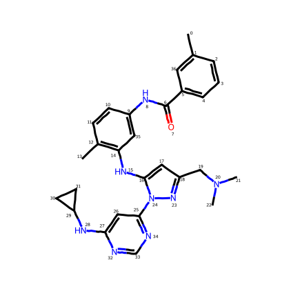 Cc1cccc(C(=O)Nc2ccc(C)c(Nc3cc(CN(C)C)nn3-c3cc(NC4CC4)ncn3)c2)c1